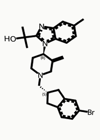 C=C1CN(C[C@H]2Cc3ccc(Br)cc3C2)CC[C@H]1n1c(C(C)(C)O)nc2cc(C)ccc21